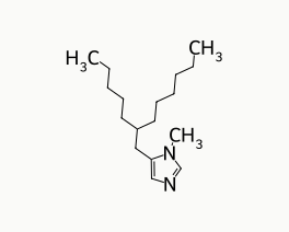 CCCCCCC(CCCCC)Cc1cncn1C